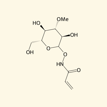 C=CC(=O)NOC1O[C@H](CO)[C@@H](O)[C@H](OC)[C@H]1O